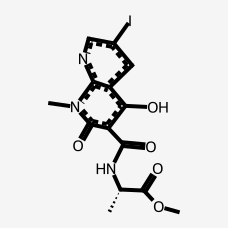 COC(=O)[C@H](C)NC(=O)c1c(O)c2cc(I)cnc2n(C)c1=O